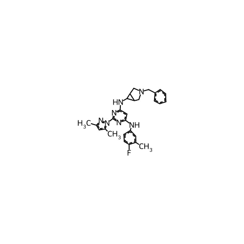 Cc1cc(C)n(-c2nc(Nc3ccc(F)c(C)c3)cc(NC3C4CN(Cc5ccccc5)CC43)n2)n1